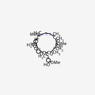 CO[C@H]1C[C@@H]2CCC(C)C(O)(O2)C(=O)C(=O)N2CCCCC2C(=O)O[C@H](C(C)C[C@@H]2CCC(O)[C@H](OC)C2)CC(=O)C(C)/C=C(\C)C(O)[C@@H](OC)C(=O)C(C)C[C@H](C)/C=C/C=C/C=C/1C